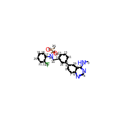 CNc1ncnc2ccc(-c3cccc(CN(c4ccccc4F)S(C)(=O)=O)c3)cc12